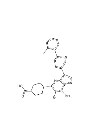 Cc1ccccc1-c1ccc(-c2cnn3c(N)c(Br)c([C@H]4CC[C@H](C(=O)O)CC4)nc23)cn1